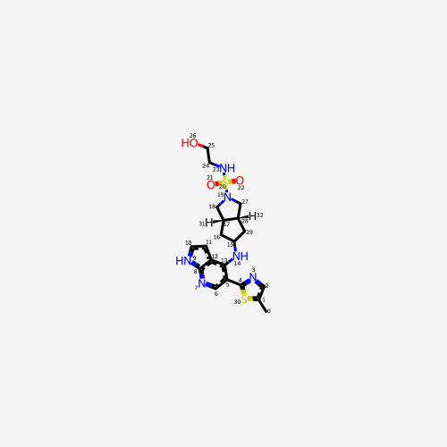 Cc1cnc(-c2cnc3[nH]ccc3c2NC2C[C@@H]3CN(S(=O)(=O)NCCO)C[C@@H]3C2)s1